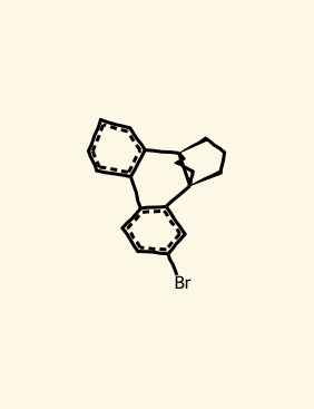 Brc1ccc2c(c1)[C@]13CCC[C@]1(CCC3)c1ccccc1-2